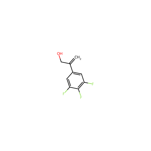 C=C(CO)c1cc(F)c(F)c(F)c1